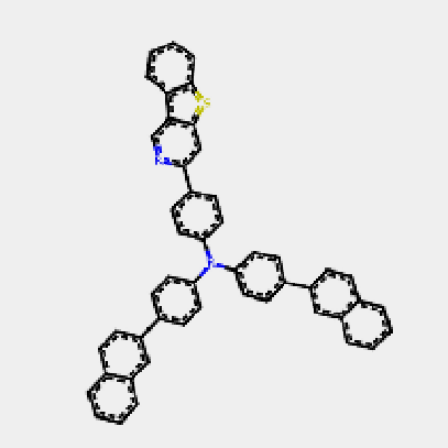 c1ccc2cc(-c3ccc(N(c4ccc(-c5ccc6ccccc6c5)cc4)c4ccc(-c5cc6sc7ccccc7c6cn5)cc4)cc3)ccc2c1